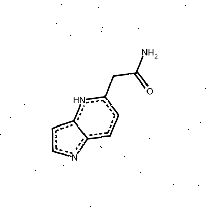 NC(=O)Cc1ccc2nccc-2[nH]1